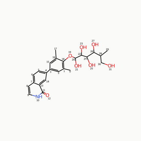 Cc1cc(-c2ccc3cc[nH]c(=O)c3c2)cc(C)c1OC(O)C(O)C(O)C(O)C(C)CO